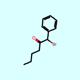 CCCCC(=O)C(Br)c1ccccc1